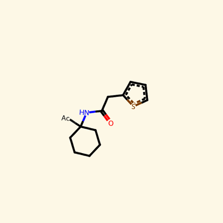 CC(=O)C1(NC(=O)Cc2cccs2)CCCCC1